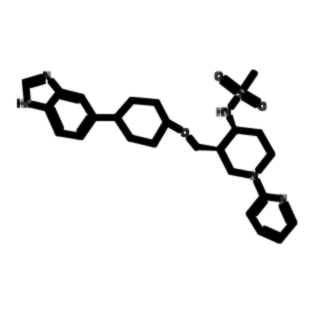 CS(=O)(=O)N[C@H]1CCN(c2ccccn2)C[C@H]1COC1CCC(c2ccc3[nH]cnc3c2)CC1